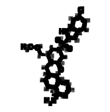 COC[C@@H]1CN(S(=O)(=O)c2cc3ccc(Cl)cc3[nH]2)CC(=O)N1Cc1ccc2c(N)ncnc2c1